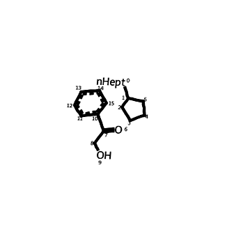 CCCCCCCC1CCCC1.O=C(CO)c1ccccc1